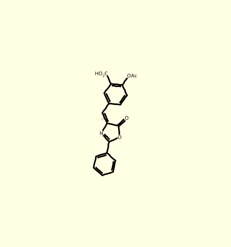 CC(=O)Oc1ccc(/C=C2/N=C(c3ccccc3)OC2=O)cc1C(=O)O